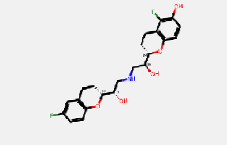 Oc1ccc2c(c1F)CC[C@@H]([C@@H](O)CNC[C@H](O)[C@H]1CCc3cc(F)ccc3O1)O2